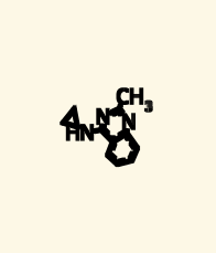 Cc1nc(NC2CC2)c2ccccc2n1